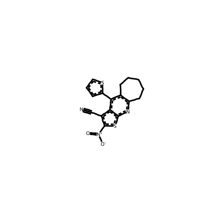 N#Cc1c([N+](=O)[O-])sc2nc3c(c(-c4cccs4)c12)CCCCC3